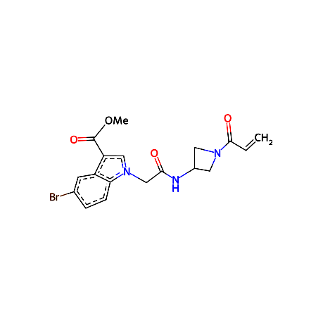 C=CC(=O)N1CC(NC(=O)Cn2cc(C(=O)OC)c3cc(Br)ccc32)C1